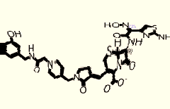 Nc1nc(/C(=N/O)C(=O)N[C@@H]2C(=O)N3C(C(=O)[O-])=C(C=C4CCN(Cc5cc[n+](CC(=O)NCc6cccc(O)c6)cc5)C4=O)CS[C@H]23)cs1